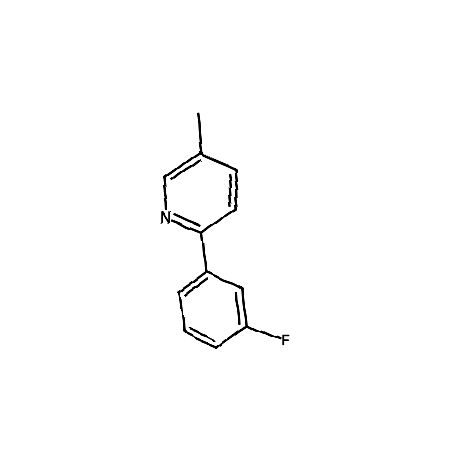 Cc1ccc(-c2cccc(F)c2)nc1